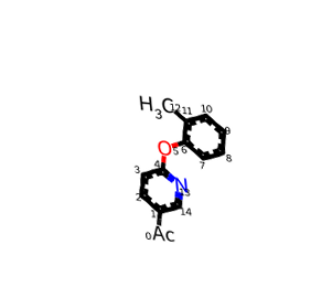 CC(=O)c1ccc(Oc2ccccc2C)nc1